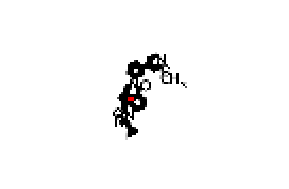 COc1cc(-c2cccc(N(CC34CC(c5nc(C6CC6)no5)(C3)C4)C(=O)C3CCCCC3)c2)ccn1